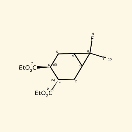 CCOC(=O)[C@H]1CC2C(C[C@@H]1C(=O)OCC)C2(F)F